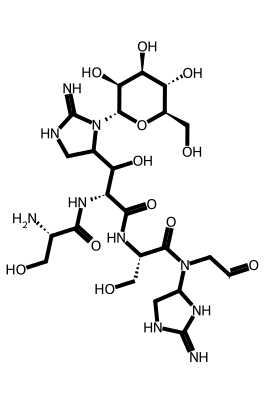 N=C1NCC(N(C[C]=O)C(=O)[C@H](CO)NC(=O)[C@H](NC(=O)[C@@H](N)CO)C(O)C2CNC(=N)N2[C@H]2O[C@H](CO)[C@@H](O)[C@H](O)[C@@H]2O)N1